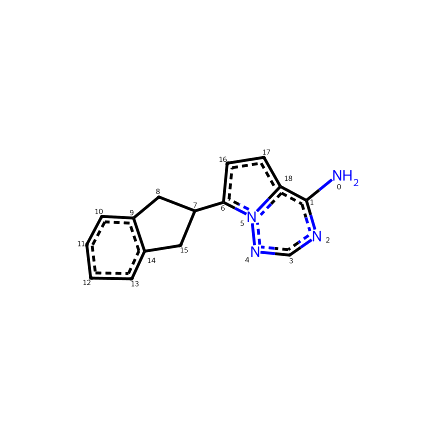 Nc1ncnn2c(C3Cc4ccccc4C3)ccc12